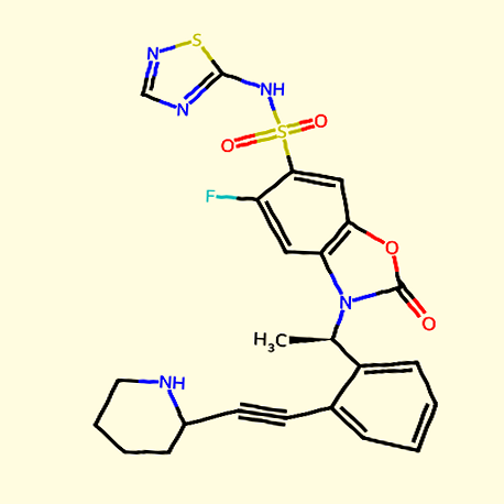 C[C@H](c1ccccc1C#CC1CCCCN1)n1c(=O)oc2cc(S(=O)(=O)Nc3ncns3)c(F)cc21